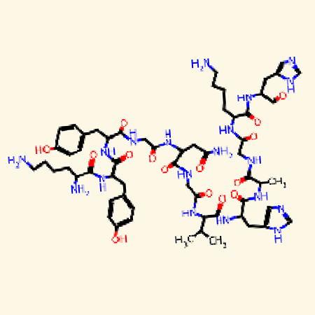 CC(NC(=O)C(Cc1cnc[nH]1)NC(=O)C(NC(=O)CNC(=O)C(CC(N)=O)NC(=O)CNC(=O)C(Cc1ccc(O)cc1)NC(=O)C(Cc1ccc(O)cc1)NC(=O)C(N)CCCCN)C(C)C)C(=O)NCC(=O)NC(CCCCN)C(=O)NC(C=O)Cc1cnc[nH]1